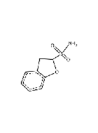 NS(=O)(=O)C1Cc2ccccc2O1